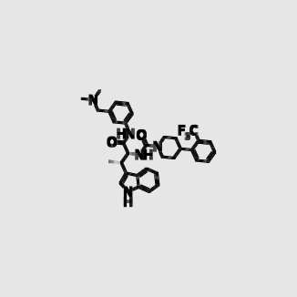 C[C@@H](c1c[nH]c2ccccc12)[C@@H](NC(=O)N1CCC(c2ccccc2C(F)(F)F)CC1)C(=O)Nc1cccc(CN(C)C)c1